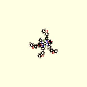 Fc1c(-n2c3ccccc3c3cc(-c4ccc5oc6ccccc6c5c4)ccc32)c(-n2c3ccccc3c3cc(-c4ccc5oc6ccccc6c5c4)ccc32)c(F)c(-n2c3ccccc3c3cc(-c4ccc5oc6ccccc6c5c4)ccc32)c1-n1c2ccccc2c2cc(-c3ccc4oc5ccccc5c4c3)ccc21